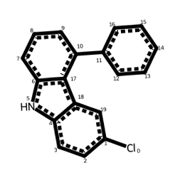 Clc1ccc2[nH]c3cccc(-c4ccccc4)c3c2c1